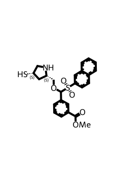 COC(=O)c1cccc(C(OC[C@@H]2C[C@H](S)CN2)S(=O)(=O)c2ccc3ccccc3c2)c1